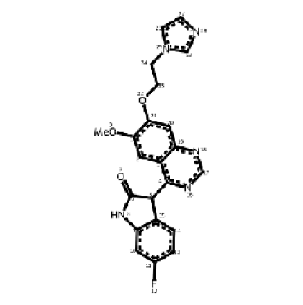 COc1cc2c(C3C(=O)Nc4cc(F)ccc43)ncnc2cc1OCCn1ccnc1